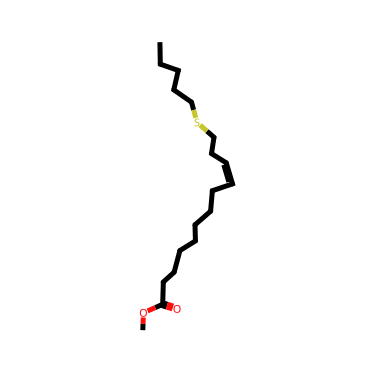 CCCCCSCC/C=C\CCCCCCCC(=O)OC